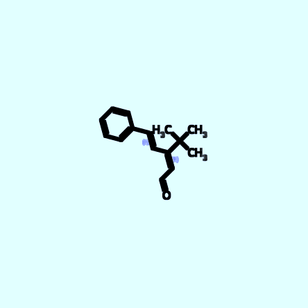 CC(C)(C)C(/C=C/c1ccccc1)=C/C=O